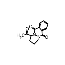 CC(=O)C1CCCn2c(=O)c3ccccc3c(=O)n21